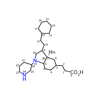 O=C(O)CCC1CCC2[C@H](C1)C(CCC1CCCCC1)CN2C1CCCNC1